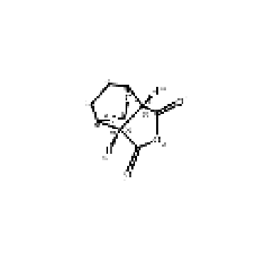 O=C1OC(=O)[C@H]2C3CCCC(CC3)[C@@H]12